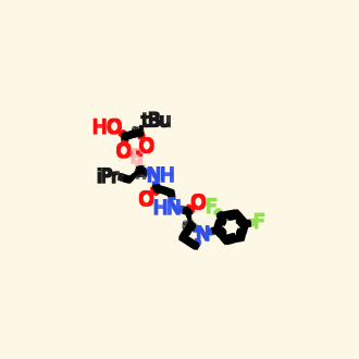 CC(C)C[C@H](NC(=O)CNC(=O)[C@@H]1CCN1c1ccc(F)cc1F)B1OC(O)[C@H](C(C)(C)C)O1